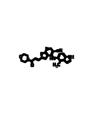 Cc1c(Nc2c(C#N)cnc3sc(C=CC(=O)N4CCOCC4)cc23)ccc2[nH]ccc12